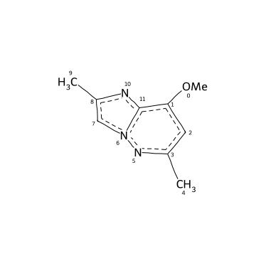 COc1cc(C)nn2cc(C)nc12